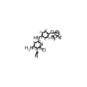 N#Cc1c(N)cc(Nc2ccc(OS(=O)(=O)C(F)(F)F)cc2)nc1Cl